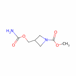 COC(=O)N1CC(COC(N)=O)C1